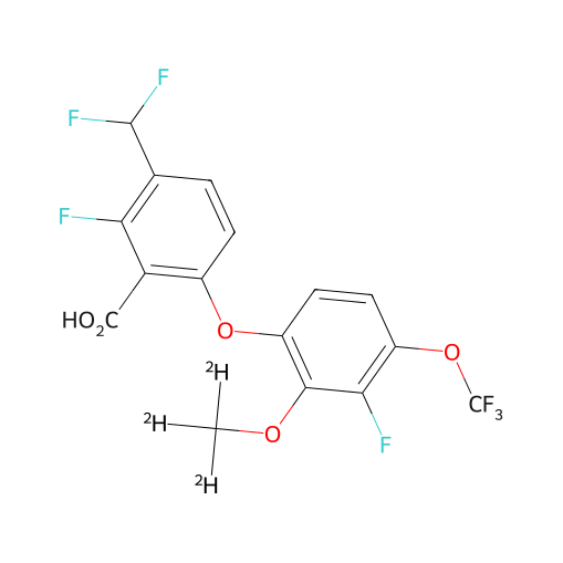 [2H]C([2H])([2H])Oc1c(Oc2ccc(C(F)F)c(F)c2C(=O)O)ccc(OC(F)(F)F)c1F